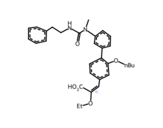 CCCCOc1cc(/C=C(/OCC)C(=O)O)ccc1-c1cccc(N(C)C(=O)NCCc2ccccc2)c1